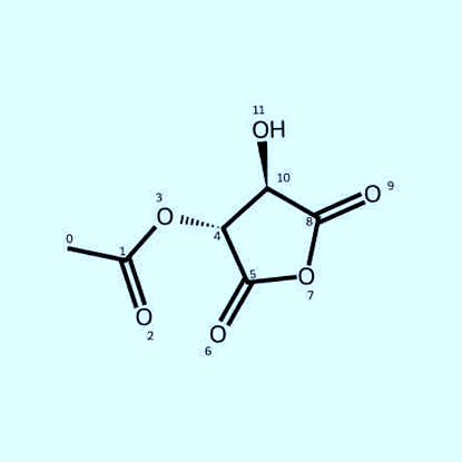 CC(=O)O[C@H]1C(=O)OC(=O)[C@@H]1O